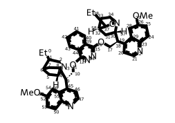 CCC1C[N@@]2CCC1C[C@H]2[C@H](COc1nnc(OC[C@H](c2ccnc3ccc(OC)cc23)[C@@H]2C[C@H]3CCN2CC3CC)c2ccccc12)c1ccnc2ccc(OC)cc12